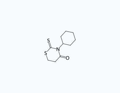 O=C1CCSC(=S)N1C1CCCCC1